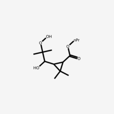 CCCOC(=O)C1C(C(O)C(C)(C)OO)C1(C)C